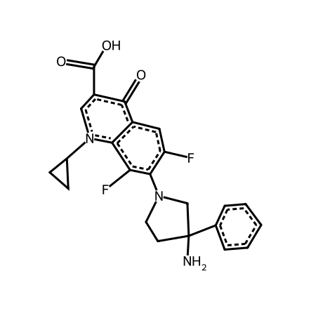 NC1(c2ccccc2)CCN(c2c(F)cc3c(=O)c(C(=O)O)cn(C4CC4)c3c2F)C1